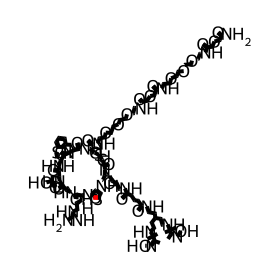 C/C(=N/O)C(C)(C)NCCC(CCNC(=O)CCCC(=O)NCCCC[C@@H]1NC(=O)CSC[C@@H](C(=O)NCCOCCOCCOCCNC(=O)COCC(=O)NCCOCCOCCOCCNC(=O)COCC(N)=O)NC(=O)[C@H](Cc2ccccc2)NC(=O)[C@H](CS)NC(=O)[C@H](CC(=O)O)NC(=O)CNC(=O)[C@H](CCCNC(=N)N)NC(=O)C(CS)NC1=O)CCNC(C)(C)/C(C)=N\O